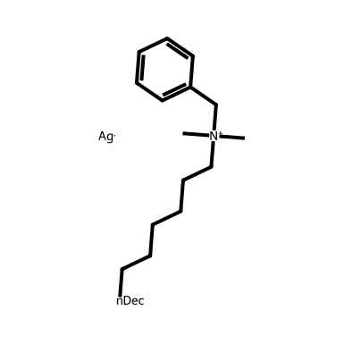 CCCCCCCCCCCCCCCC[N+](C)(C)Cc1ccccc1.[Ag]